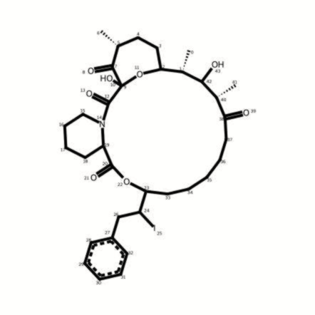 C[C@H]1C2CC[C@@H](C)C(=O)C(O)(O2)C(=O)N2CCCCC2C(=O)OC(C(I)Cc2ccccc2)CCCCCC(=O)[C@@H](C)C1O